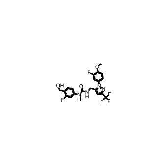 COc1ccc(-n2nc(C(F)(F)F)cc2CNC(=O)Nc2ccc(CO)c(F)c2)cc1F